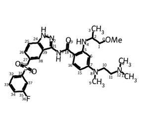 COCC(C)Nc1cc(N(C)CCN(C)C)ccc1C(=O)Nc1n[nH]c2ccc(S(=O)(=O)c3cccc(F)c3)cc12